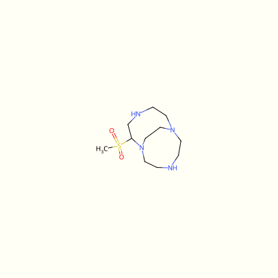 CS(=O)(=O)C1CNCCN2CCNCCN1CC2